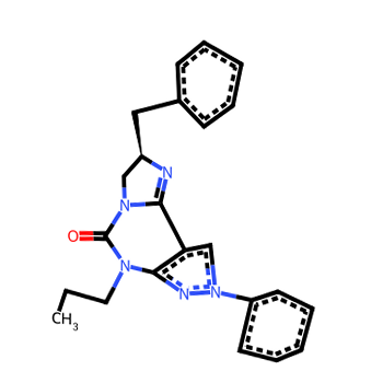 CCCN1C(=O)N2C[C@@H](Cc3ccccc3)N=C2c2cn(-c3ccccc3)nc21